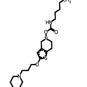 CCCCCNC(=O)ON1CCc2sc(OCCCN3CCCCC3)cc2C1